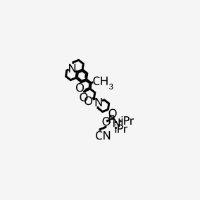 Cc1c(CC(=O)N2CCC(OP(OCCC#N)N(C(C)C)C(C)C)CC2)c(=O)oc2c3c4c(cc12)CCCN4CCC3